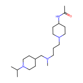 CC(=O)NC1CCN(CCCN(C)CC2CCN(C(C)C)CC2)CC1